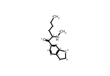 CCCCC(NC)C(=O)c1ccc2c(c1)SCC2